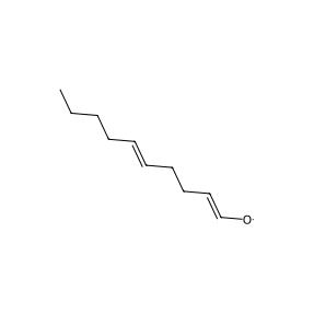 CCCC/C=C/CC/C=C/[O]